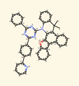 CC1(C)c2ccccc2N(c2nc(-c3ccccc3)nc(-c3ccc(-c4ccccn4)cc3)n2)c2c1c1ccccc1c1c2oc2ccccc21